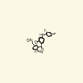 COc1ccc(COC(C)=O)cc1C(=O)c1ccc(Nc2ccc(F)cc2F)cc1Cl